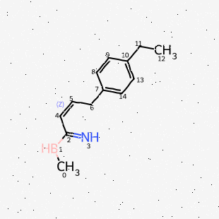 CBC(=N)/C=C\Cc1ccc(CC)cc1